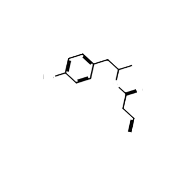 C=CCC(=O)OC(C)Cc1ccc(O)cc1